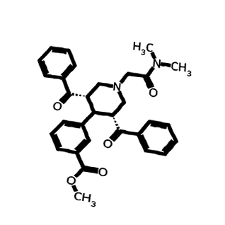 COC(=O)c1cccc(C2[C@@H](C(=O)c3ccccc3)CN(CC(=O)N(C)C)C[C@H]2C(=O)c2ccccc2)c1